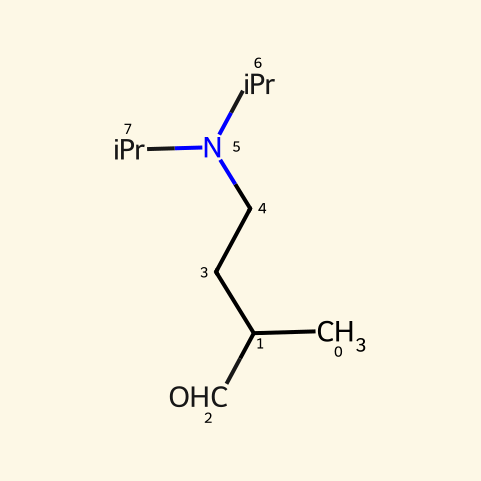 CC(C=O)CCN(C(C)C)C(C)C